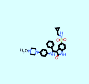 CN1CCN(c2ccc(N/C(=C3\C(=O)Nc4ccc(S(=O)(=O)NCC5CC5)cc43)c3ccccc3)cc2)CC1